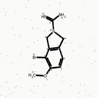 COc1ccc2c(c1Br)CN(C(=N)N)C2